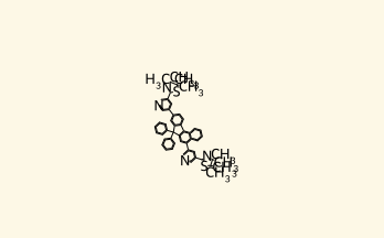 CC1(C)N=C(c2cncc(-c3ccc4c(c3)C(c3ccccc3)(c3ccccc3)c3cc(-c5cncc(C6=NC(C)(C)C(C)(C)S6)c5)c5ccccc5c3-4)c2)SC1(C)C